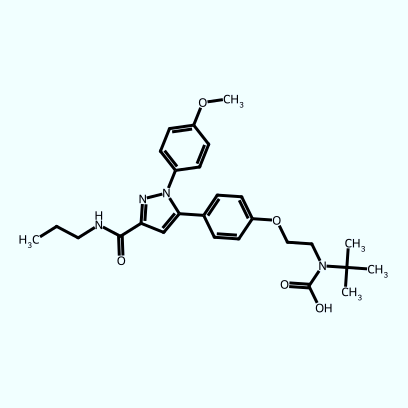 CCCNC(=O)c1cc(-c2ccc(OCCN(C(=O)O)C(C)(C)C)cc2)n(-c2ccc(OC)cc2)n1